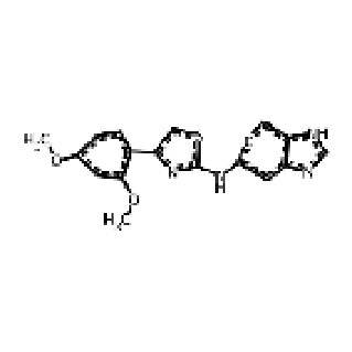 COc1ccc(-c2csc(Nc3ccc4[nH]cnc4c3)n2)c(OC)c1